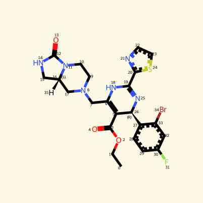 CCOC(=O)C1=C(CN2CCN3C(=O)NC[C@H]3C2)NC(c2nccs2)=N[C@H]1c1ccc(F)cc1Br